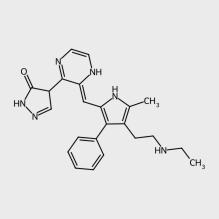 CCNCCc1c(C)[nH]c(C=C2NC=CN=C2C2C=NNC2=O)c1-c1ccccc1